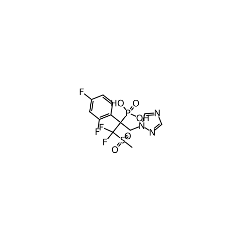 CS(=O)(=O)C(F)(F)C(Cn1cncn1)(c1ccc(F)cc1F)P(=O)(O)O